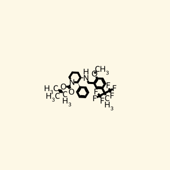 COc1ccc(C(C)(C(F)(F)F)C(F)(F)F)cc1CN[C@H]1CCCN(C(=O)OC(C)(C)C)[C@H]1c1ccccc1